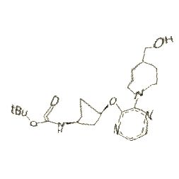 CC(C)(C)OC(=O)N[C@H]1C[C@@H](Oc2nccnc2N2CCC(CO)CC2)C1